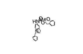 COc1ccccc1CCOC(=O)Nc1ccc2c(c1)CCN2Cc1ccccc1